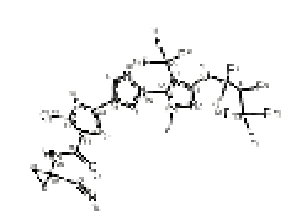 Cn1nc(OC(F)(F)C(F)C(F)(F)F)c(C(F)(F)F)c1-n1cc(-c2cc(C(=O)NC3(C#N)CC3)c(Cl)s2)cn1